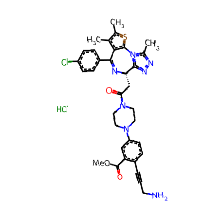 COC(=O)c1cc(N2CCN(C(=O)C[C@@H]3N=C(c4ccc(Cl)cc4)c4c(sc(C)c4C)-n4c(C)nnc43)CC2)ccc1C#CCN.Cl